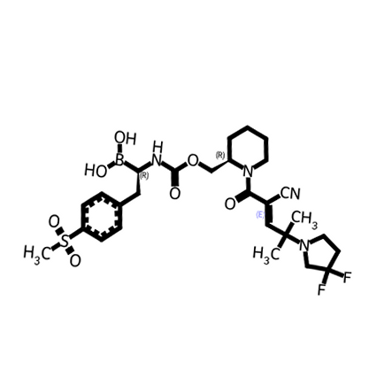 CC(C)(/C=C(\C#N)C(=O)N1CCCC[C@@H]1COC(=O)N[C@@H](Cc1ccc(S(C)(=O)=O)cc1)B(O)O)N1CCC(F)(F)C1